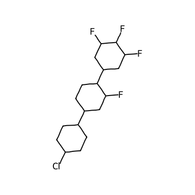 FC1CC(C2CCC(C3CCC(Cl)CC3)CC2F)CC(F)C1F